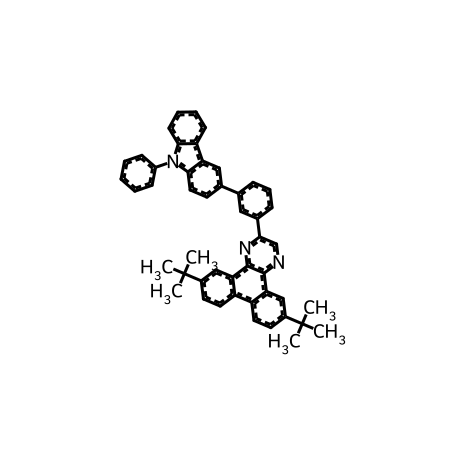 CC(C)(C)c1ccc2c3ccc(C(C)(C)C)cc3c3nc(-c4cccc(-c5ccc6c(c5)c5ccccc5n6-c5ccccc5)c4)cnc3c2c1